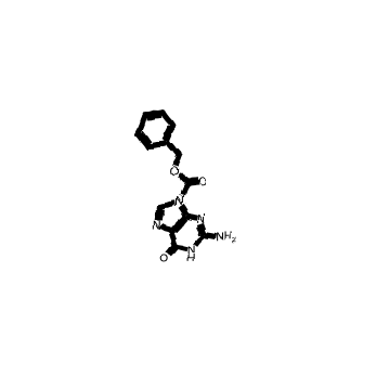 Nc1nc2c(ncn2C(=O)OCc2ccccc2)c(=O)[nH]1